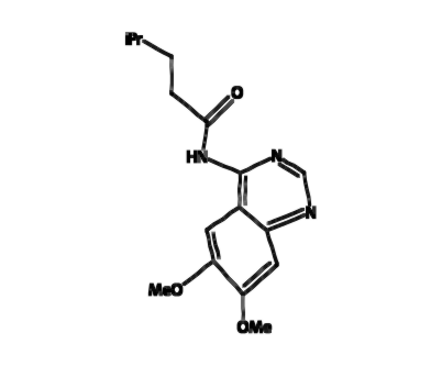 COc1cc2ncnc(NC(=O)CCC(C)C)c2cc1OC